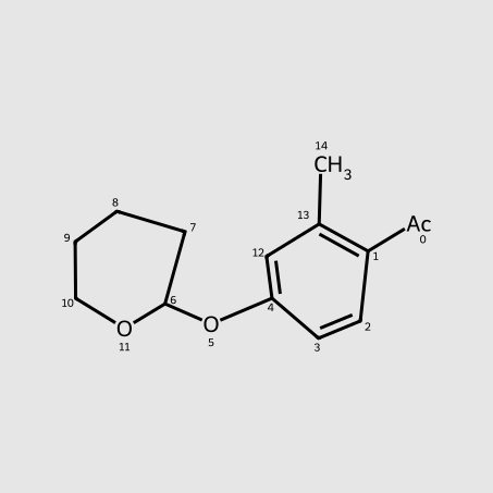 CC(=O)c1ccc(OC2CCCCO2)cc1C